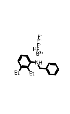 CCc1cccc(NCc2ccccc2)c1CC.F.[B+3].[F-].[F-].[F-]